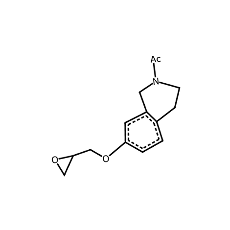 CC(=O)N1CCc2ccc(OCC3CO3)cc2C1